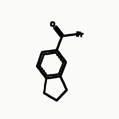 CC(C)C(=O)c1ccc2c(c1)CCC2